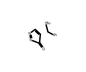 CC(C)CC(C)(C)C.O=C1C=CN=N1